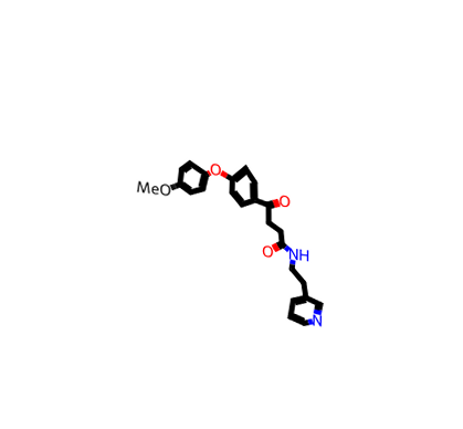 COc1ccc(Oc2ccc(C(=O)CCC(=O)NCCc3cccnc3)cc2)cc1